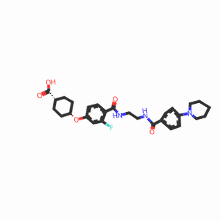 O=C(NCCNC(=O)c1ccc(O[C@H]2CC[C@@H](C(=O)O)CC2)cc1F)c1ccc(N2CCCCC2)cc1